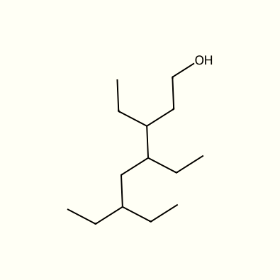 CCC(CC)CC(CC)C(CC)CCO